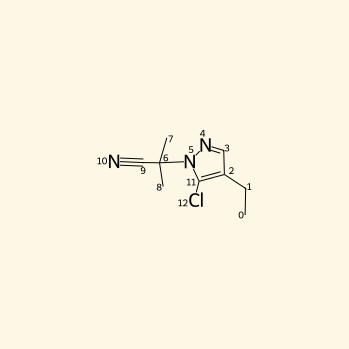 CCc1cnn(C(C)(C)C#N)c1Cl